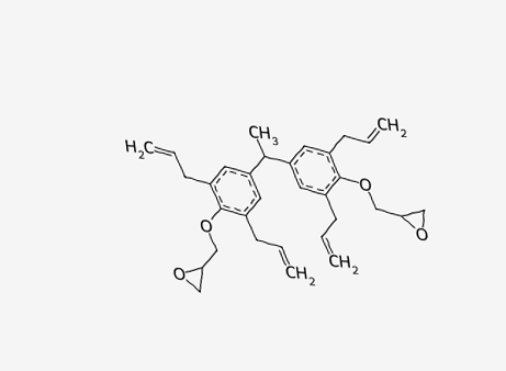 C=CCc1cc(C(C)c2cc(CC=C)c(OCC3CO3)c(CC=C)c2)cc(CC=C)c1OCC1CO1